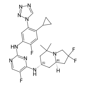 CC1(C)C[C@@H](Nc2nc(Nc3cc(-n4cnnn4)c(C4CC4)cc3F)ncc2F)C[C@@H]2CC(F)(F)CN21